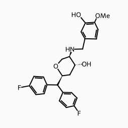 COc1ccc(CN[C@@H]2CO[C@H](C(c3ccc(F)cc3)c3ccc(F)cc3)C[C@H]2O)cc1O